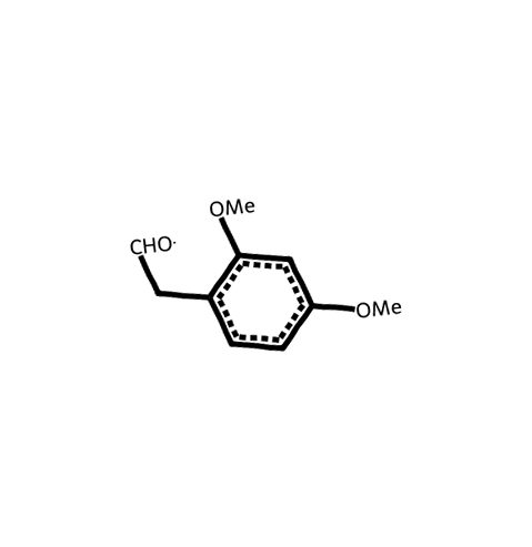 COc1ccc(C[C]=O)c(OC)c1